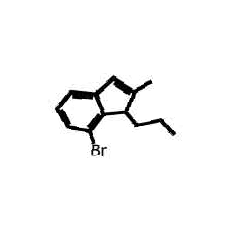 CCCC1C(C)=Cc2cccc(Br)c21